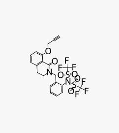 C#CCOc1cccc2c1C(=O)N(Cc1ccccc1N(S(=O)(=O)C(F)(F)F)S(=O)(=O)C(F)(F)F)CC2